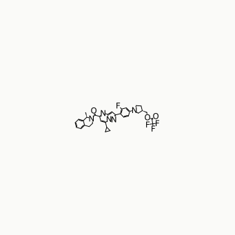 C[C@@H]1c2ccccc2CCN1C(=O)c1cc(C2CC2)n2nc(-c3ccc(N4CC[C@@H](COC(=O)C(F)(F)F)C4)cc3F)cc2n1